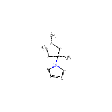 CCCC(C)(CC)N1CC=CC1